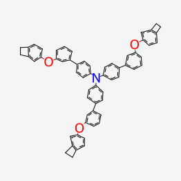 c1cc(Oc2ccc3c(c2)CC3)cc(-c2ccc(N(c3ccc(-c4cccc(Oc5ccc6c(c5)CC6)c4)cc3)c3ccc(-c4cccc(Oc5ccc6c(c5)CC6)c4)cc3)cc2)c1